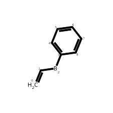 C=C[B]c1ccccc1